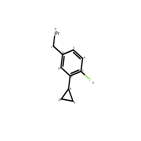 CC(C)Cc1ccc(F)c(C2CC2)c1